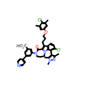 Cc1cc(OCCCc2c3n(c4c(-c5c(C)nn(C)c5C)c(Cl)ccc24)CCCN(c2cc(C(=O)O)cc(-c4ccncc4)c2)C3=O)cc(C)c1Cl